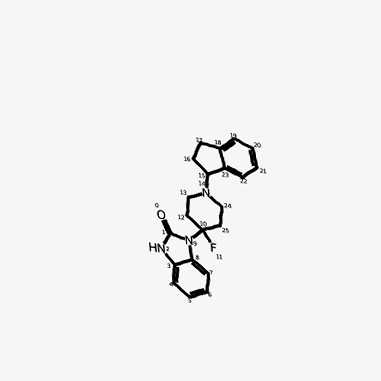 O=c1[nH]c2ccccc2n1C1(F)CCN(C2CCc3ccccc32)CC1